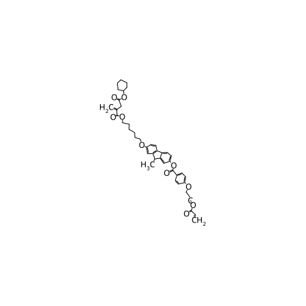 C=CC(=O)OCCCOc1ccc(C(=O)Oc2ccc3c(c2)C(C)c2cc(OCCCCCCOC(=O)C(=C)CC(=O)OC4CCCCC4)ccc2-3)cc1